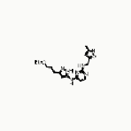 CCOCCCc1cc(Nc2ccnc(NCc3cc(C)no3)n2)[nH]n1